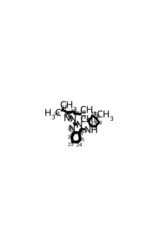 CC1CCC(Nc2nc(-n3nc(C(C)C)cc3C(C)C)nc3ccccc23)CC1